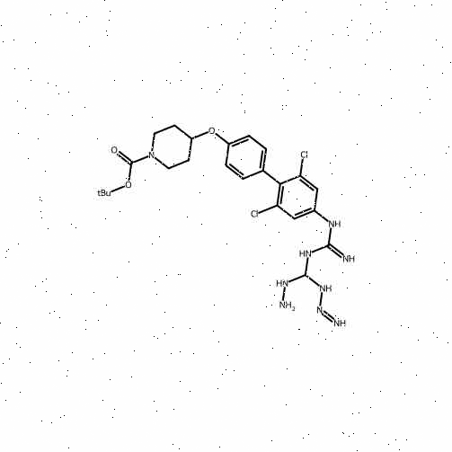 CC(C)(C)OC(=O)N1CCC(Oc2ccc(-c3c(Cl)cc(NC(=N)NC(NN)NN=N)cc3Cl)cc2)CC1